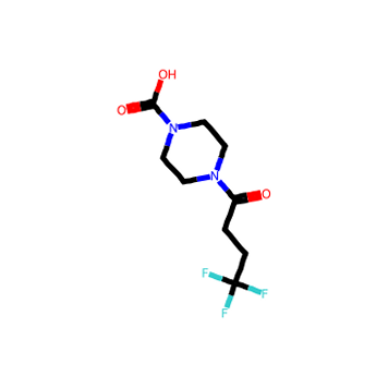 O=C(O)N1CCN(C(=O)CCC(F)(F)F)CC1